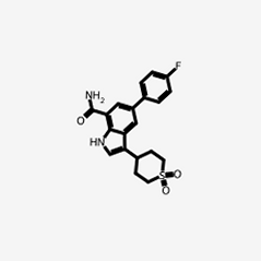 NC(=O)c1cc(-c2ccc(F)cc2)cc2c(C3CCS(=O)(=O)CC3)c[nH]c12